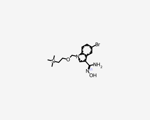 C[Si](C)(C)CCOCn1cc(/C(N)=N/O)c2cc(Br)ccc21